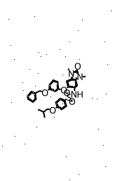 CC(C)COc1ccc(S(=O)(=O)Nc2cc3c(cc2Oc2cccc(OCc4ccccc4)c2)n(C)c(=O)n3C)cc1